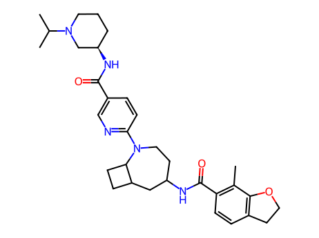 Cc1c(C(=O)NC2CCN(c3ccc(C(=O)N[C@@H]4CCCN(C(C)C)C4)cn3)C3CCC3C2)ccc2c1OCC2